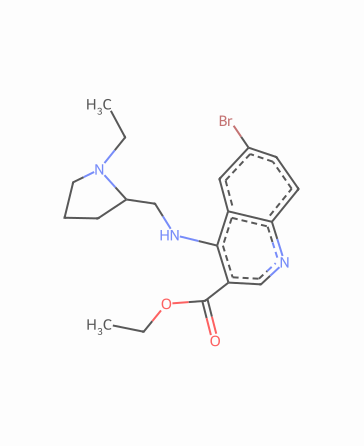 CCOC(=O)c1cnc2ccc(Br)cc2c1NCC1CCCN1CC